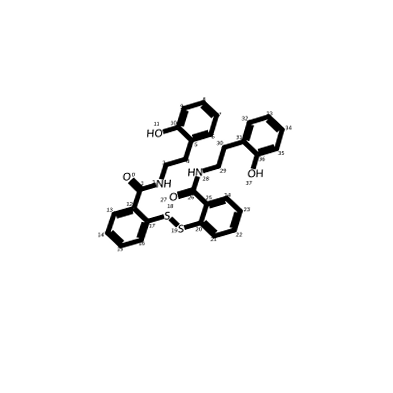 O=C(NCCc1ccccc1O)c1ccccc1SSc1ccccc1C(=O)NCCc1ccccc1O